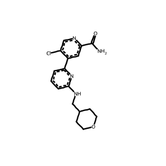 NC(=O)c1cc(-c2cccc(NCC3CCOCC3)n2)c(Cl)cn1